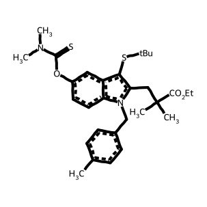 CCOC(=O)C(C)(C)Cc1c(SC(C)(C)C)c2cc(OC(=S)N(C)C)ccc2n1Cc1ccc(C)cc1